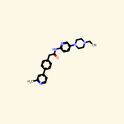 Cc1cc(-c2ccc(CC(=O)Nc3ccc(N4CCN(CC#N)CC4)cn3)cc2)ccn1